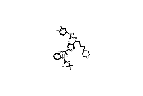 Cc1cc(NC(=O)NC(CCCN2CCOCC2)c2ccc(C(=O)Nc3ccccc3NC(=O)OC(C)(C)C)nc2)ccc1F